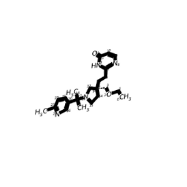 CCOC[C@]1(CCc2nccc(=O)[nH]2)CCN(C(C)(C)c2ccc(C)nc2)C1